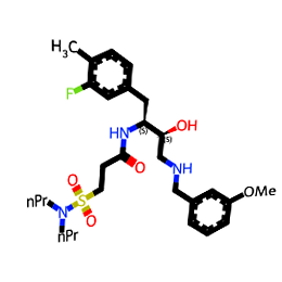 CCCN(CCC)S(=O)(=O)CCC(=O)N[C@@H](Cc1ccc(C)c(F)c1)[C@@H](O)CNCc1cccc(OC)c1